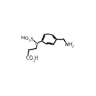 NCc1ccc(N(CCC(=O)O)S(=O)(=O)O)cc1